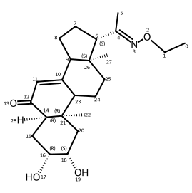 CCON=C(C)[C@H]1CCC2C3=CC(=O)[C@@H]4C[C@@H](O)[C@@H](O)C[C@]4(C)C3CC[C@@]21C